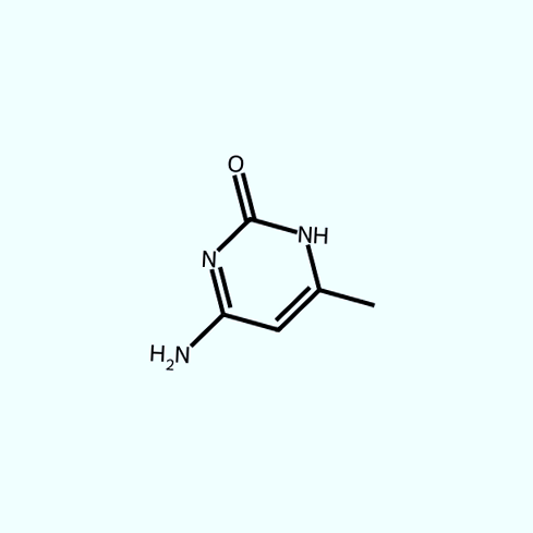 Cc1cc(N)nc(=O)[nH]1